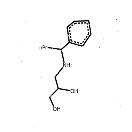 CCCC(NCC(O)CO)c1ccccc1